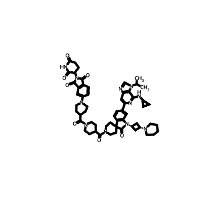 CC(C)n1cnc2cc(-c3ccc4c(c3)N([C@H]3C[C@@H](N5CCCCC5)C3)C(=O)C43CCN(C(=O)C4CCN(C(=O)C5CCN(c6ccc7c(c6)C(=O)N(C6CCC(=O)NC6=O)C7=O)CC5)CC4)CC3)nc(NC3CC3)c21